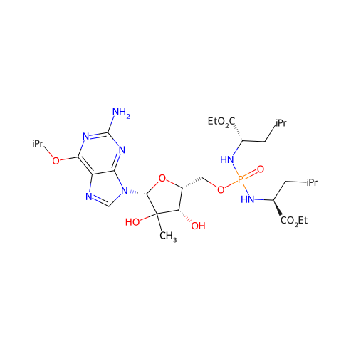 CCOC(=O)[C@H](CC(C)C)NP(=O)(N[C@@H](CC(C)C)C(=O)OCC)OC[C@H]1O[C@@H](n2cnc3c(OC(C)C)nc(N)nc32)C(C)(O)[C@H]1O